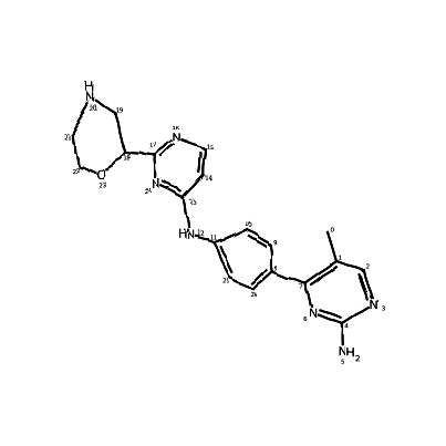 Cc1cnc(N)nc1-c1ccc(Nc2ccnc(C3CNCCO3)n2)cc1